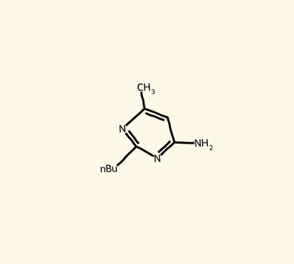 CCCCc1nc(C)cc(N)n1